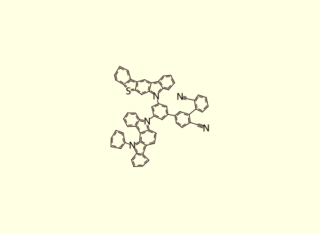 N#Cc1ccccc1-c1cc(-c2cc(-n3c4ccccc4c4cc5c(cc43)sc3ccccc35)cc(-n3c4ccccc4c4c3ccc3c5ccccc5n(-c5ccccc5)c34)c2)ccc1C#N